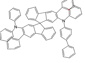 c1ccc(-c2ccc(N(c3ccccc3)c3cc4c(cc3-c3ccccc3)-c3ccccc3C43c4ccccc4-c4cc(-c5ccccc5)c(N(c5ccccc5)c5ccccc5)cc43)cc2)cc1